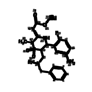 CCN(Cc1ccccc1)CC1C(c2cc(N)ccc2F)NC(=NC(=O)OC(C)(C)C)N(C)S1(=O)=O